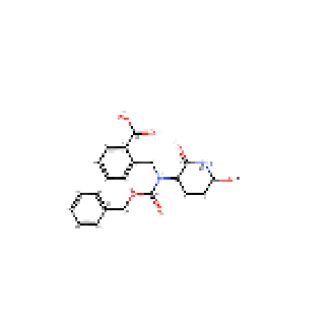 O=C1CCC(N(Cc2ccccc2C(=O)O)C(=O)OCc2ccccc2)C(=O)N1